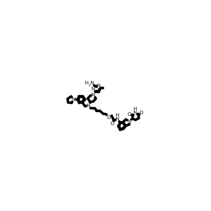 Cc1cc(N2CCC(N(CCCCCCOCC(=O)Nc3cccc4c3CN(C3CCC(=O)NC3=O)C4)Cc3cccc(N4CCCC4)c3)CC2)nc(N)n1